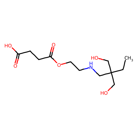 CCC(CO)(CO)CNCCOC(=O)CCC(=O)O